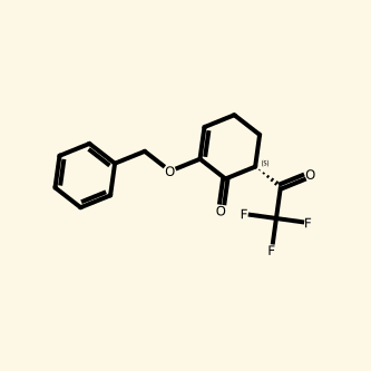 O=C1C(OCc2ccccc2)=CCC[C@@H]1C(=O)C(F)(F)F